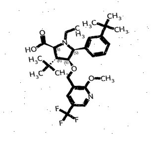 CCN1[C@H](C(=O)O)[C@@H](C(C)(C)C)[C@H](OCc2cc(C(F)(F)F)cnc2OC)[C@@H]1c1cccc(C(C)(C)C)c1